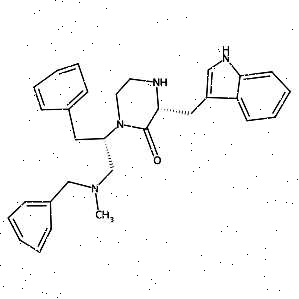 CN(Cc1ccccc1)C[C@H](Cc1ccccc1)N1CCN[C@H](Cc2c[nH]c3ccccc23)C1=O